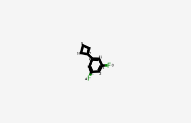 Fc1cc(F)cc(C2CCC2)c1